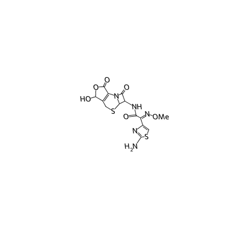 CON=C(C(=O)NC1C(=O)N2C3=C(CSC12)C(O)OC3=O)c1csc(N)n1